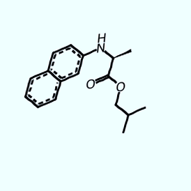 CC(C)COC(=O)[C@H](C)Nc1ccc2ccccc2c1